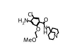 COCCOc1cc(N)c(Cl)cc1C(=O)NCC12CCCN(CCC1)C2